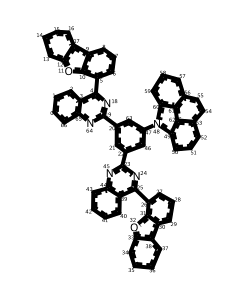 c1ccc2c(-c3cccc4c3oc3ccccc34)nc(-c3cc(-c4nc(-c5cccc6c5oc5ccccc56)c5ccccc5n4)cc(-n4c5cccc6ccc7cccc4c7c65)c3)nc2c1